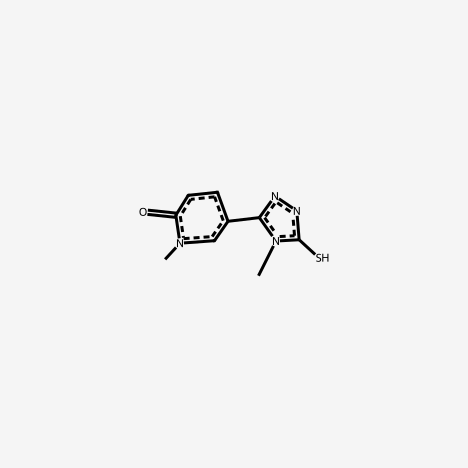 Cn1c(S)nnc1-c1ccc(=O)n(C)c1